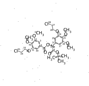 COc1cc(C(=O)ON(C(=O)OC(C)(C)C)c2cc(OC)c(OC)c(OCCCl)c2)cc(OCCCl)c1OC